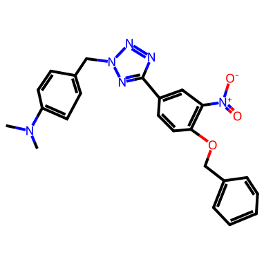 CN(C)c1ccc(Cn2nnc(-c3ccc(OCc4ccccc4)c([N+](=O)[O-])c3)n2)cc1